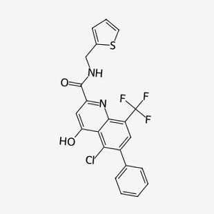 O=C(NCc1cccs1)c1cc(O)c2c(Cl)c(-c3ccccc3)cc(C(F)(F)F)c2n1